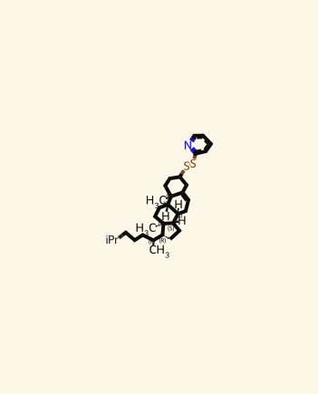 CC(C)CCC[C@@H](C)[C@H]1CC[C@H]2[C@@H]3CC=C4CC(SSc5ccccn5)CC[C@]4(C)[C@H]3CC[C@]12C